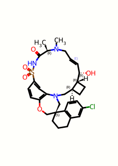 C[C@@H]1C(=O)NS(=O)(=O)c2ccc3c(c2)N(C[C@@H]2CC[C@H]2[C@@H](O)/C=C/CN1C)C[C@@]1(CCCc2cc(Cl)ccc21)CO3